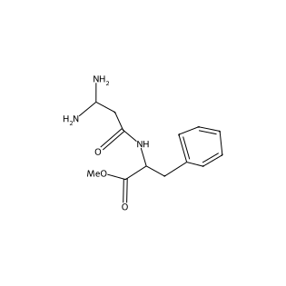 COC(=O)C(Cc1ccccc1)NC(=O)CC(N)N